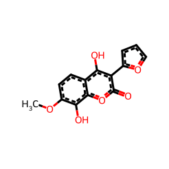 COc1ccc2c(O)c(-c3ccco3)c(=O)oc2c1O